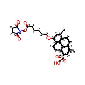 Cc1cc(OCCCCCC(=O)ON2C(=O)CCC2=O)c2ccc3c(S(=O)(=O)O)cc(C)c4ccc1c2c43